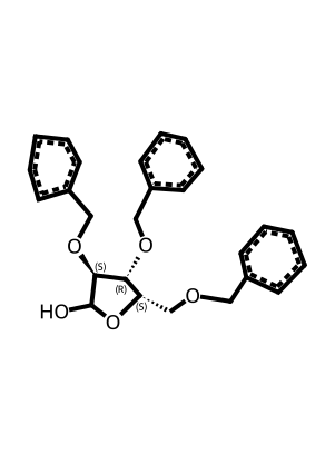 OC1O[C@@H](COCc2ccccc2)[C@@H](OCc2ccccc2)[C@@H]1OCc1ccccc1